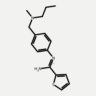 CCCN(C)Cc1ccc(/N=C(\N)c2cccs2)cc1